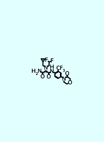 NC(=O)[C@@H](C(=O)Nc1ccc(N2CCOCC2=O)cc1C(F)(F)F)N(CC(F)F)CC1CC1